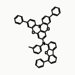 Cc1cccc(N(c2cc3c4c(c2)Oc2cc(-c5ccccc5)ccc2B4c2ccc(-c4ccccc4)cc2O3)c2cccc3c2oc2c(-c4ccccc4)cccc23)c1